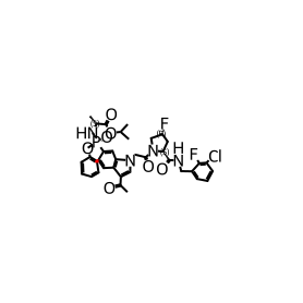 CC(=O)c1cn(CC(=O)N2C[C@H](F)C[C@H]2C(=O)NCc2cccc(Cl)c2F)c2cc(P(=O)(N[C@@H](C)C(=O)OC(C)C)Oc3ccccc3)ccc12